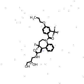 CCCOc1ccc(C(=O)N2CCC(F)(F)/C(=C\C(=O)NC[C@@H](O)CO)c3ccccc32)c(C(F)(F)F)c1